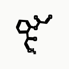 C=CC(=O)c1ccccc1OC(=O)C=O